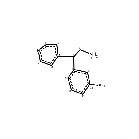 NCC(c1ccncc1)c1cccc(F)c1